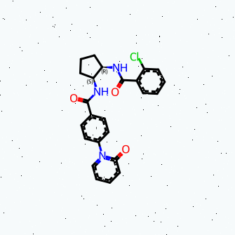 O=C(N[C@H]1CCC[C@H]1NC(=O)c1ccccc1Cl)c1ccc(-n2ccccc2=O)cc1